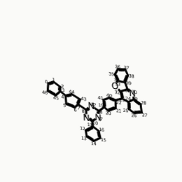 c1ccc(-c2ccc(-c3nc(-c4ccccc4)nc(-c4ccc(-c5c6ccccc6nc6c5oc5ccccc56)cc4)n3)cc2)cc1